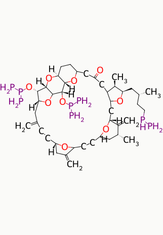 C=C1CC[C@H]2CC(=C)C(CC[C@H]3C[C@@H](C)C(=C)[C@@H](CC4O[C@H](C[C@H](C)CCPP)[C@H](C)C4CC(=O)CC4CC[C@@H]5O[C@@H]6C(O[C@H](C1)[C@@H]6OP(P)P)[C@@H](OP(P)P)[C@H]5O4)O3)O2